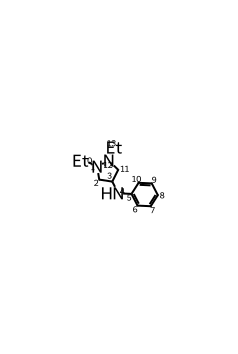 CCN1CC(Nc2ccccc2)CN1CC